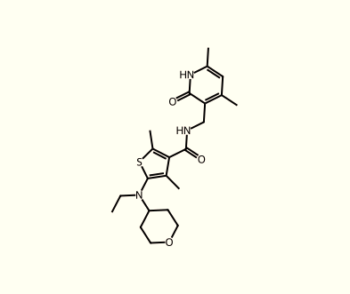 CCN(c1sc(C)c(C(=O)NCc2c(C)cc(C)[nH]c2=O)c1C)C1CCOCC1